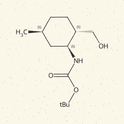 C[C@H]1CC[C@H](CO)[C@@H](NC(=O)OC(C)(C)C)C1